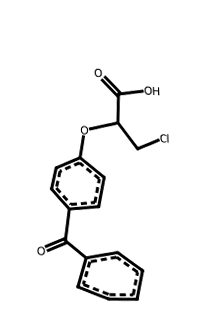 O=C(c1ccccc1)c1ccc(OC(CCl)C(=O)O)cc1